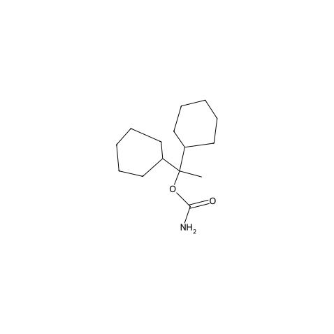 CC(OC(N)=O)(C1CCCCC1)C1CCCCC1